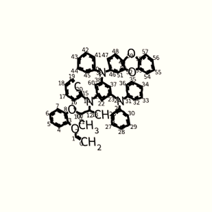 C=COc1ccccc1O[C@@H](C)C(C)N(c1ccccc1)c1cc(N(c2ccccc2)c2ccccc2)cc(N(c2ccccc2)c2ccc3c(c2)Oc2ccccc2O3)c1